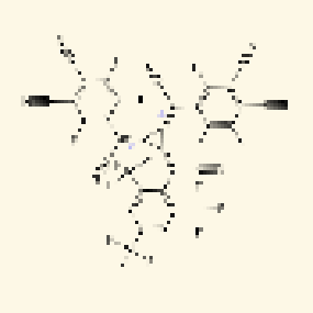 C#Cc1c(F)c(F)c(/C(C#N)=C2\C(=C(C#N)c3c(C(F)(F)F)cc(C(F)(F)F)cc3C(F)(F)F)\C2=C(/C#N)c2c(F)c(F)c(C#N)c(C#N)c2F)c(F)c1C#N